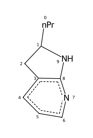 CCCC1Cc2cccnc2N1